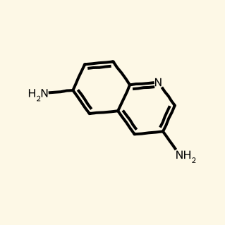 Nc1ccc2ncc(N)cc2c1